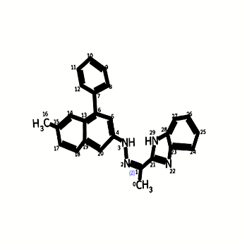 C/C(=N/Nc1cc(-c2ccccc2)c2cc(C)ccc2c1)c1nc2ccccc2[nH]1